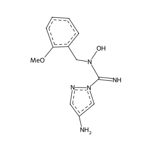 COc1ccccc1CN(O)C(=N)n1cc(N)cn1